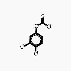 S=C(Cl)Oc1ccc(Cl)c(Cl)c1